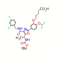 C[C@H](NC(=O)OC(C)(C)C)c1oc(-c2ccc(OC(F)F)c(OCCCCC(=O)O)c2)nc1C(=O)NCc1ccc(F)cc1F